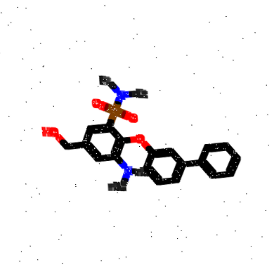 CCCCN(CCCC)c1cc(CO)cc(S(=O)(=O)N(CC)CC)c1Oc1cccc(-c2ccccc2)c1